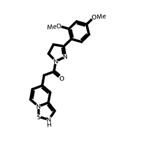 COc1ccc(C2=NN(C(=O)CC3=CC4=CNSN4C=C3)CC2)c(OC)c1